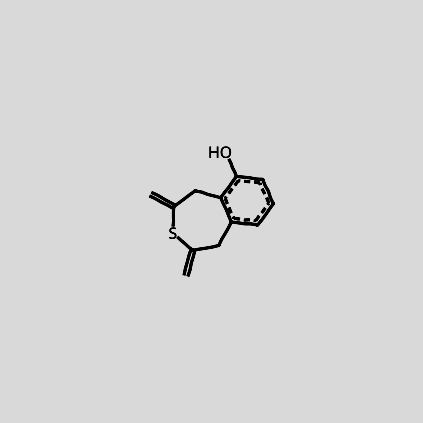 C=C1Cc2cccc(O)c2CC(=C)S1